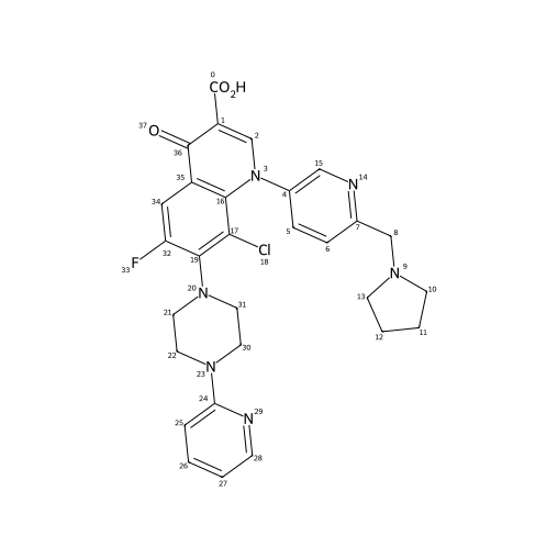 O=C(O)c1cn(-c2ccc(CN3CCCC3)nc2)c2c(Cl)c(N3CCN(c4ccccn4)CC3)c(F)cc2c1=O